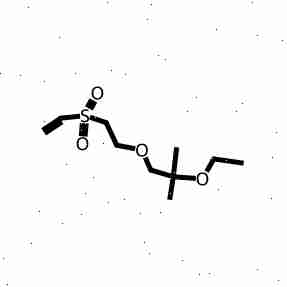 C=CS(=O)(=O)CCOCC(C)(C)OCC